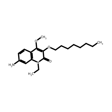 CCCCCCCCOc1c(OC)c2ccc(N)cc2n(CC)c1=O